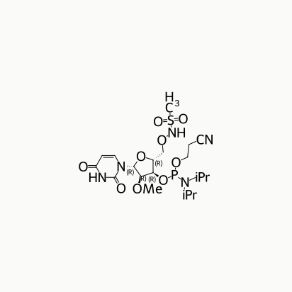 CO[C@@H]1[C@H](OP(OCCC#N)N(C(C)C)C(C)C)[C@@H](CONS(C)(=O)=O)O[C@H]1n1ccc(=O)[nH]c1=O